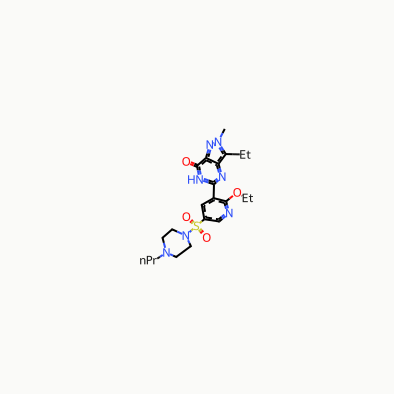 CCCN1CCN(S(=O)(=O)c2cnc(OCC)c(-c3nc4c(CC)n(C)nc4c(=O)[nH]3)c2)CC1